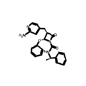 C[C@@H](NC(=O)N1C(=O)[C@H](Cc2ccnc(N)c2)[C@H]1Oc1ccccc1)c1ccccc1